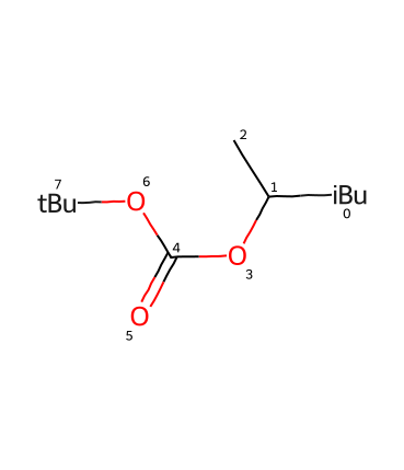 CCC(C)C(C)OC(=O)OC(C)(C)C